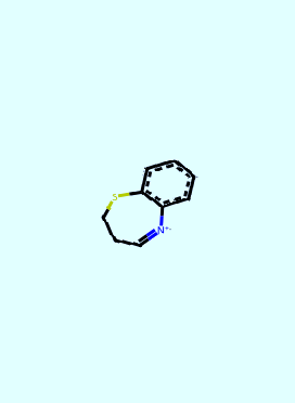 [c]1ccc2c(c1)[N+]=CCCS2